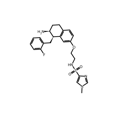 Cn1cnc(S(=O)(=O)NCCOc2ccc3c(c2)[C@@H](Cc2ccccc2F)[C@@H](N)CC3)c1